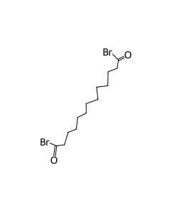 O=C(Br)CCCCCCCCCCCC(=O)Br